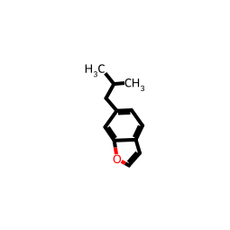 CC(C)Cc1ccc2ccoc2c1